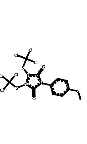 CSc1ccc(-n2c(=O)n(SC(Cl)(Cl)Cl)n(SC(Cl)(Cl)Cl)c2=O)cc1